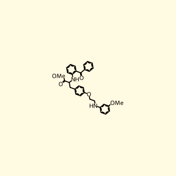 COC(=O)C(Cc1ccc(OCCNc2cccc(OC)c2)cc1)Nc1ccccc1C(=O)c1ccccc1